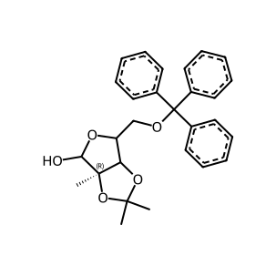 CC1(C)OC2C(COC(c3ccccc3)(c3ccccc3)c3ccccc3)OC(O)[C@]2(C)O1